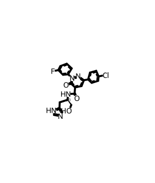 O=C(N[C@@H](CO)Cc1cnc[nH]1)c1cc(-c2ccc(Cl)cc2)nn(-c2cccc(F)c2)c1=O